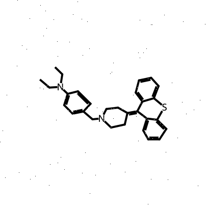 CCN(CC)c1ccc(CN2CCC(=C3c4ccccc4Sc4ccccc43)CC2)cc1